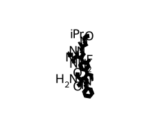 CC(C)C(=O)N1CC(n2cc(-c3ccc(C4CCn5c4c(C(N)=O)c(=O)n5-c4ccccc4)cc3F)c3c(N)ncnc32)C1